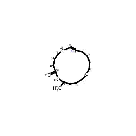 CC1CCCCCCCC/C=C/CCCCC(=O)O1